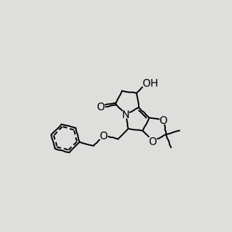 CC1(C)OC2=C3C(O)CC(=O)N3C(COCc3ccccc3)C2O1